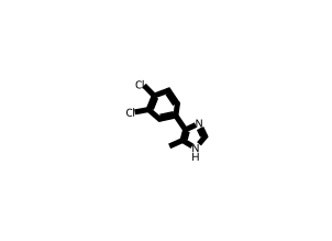 Cc1[nH]cnc1-c1ccc(Cl)c(Cl)c1